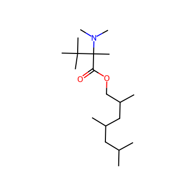 CC(C)CC(C)CC(C)COC(=O)C(C)(N(C)C)C(C)(C)C